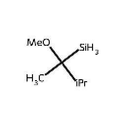 [CH2]OC(C)([SiH3])C(C)C